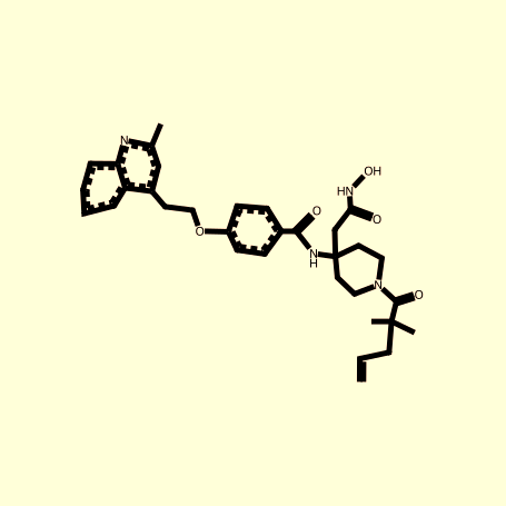 C=CCC(C)(C)C(=O)N1CCC(CC(=O)NO)(NC(=O)c2ccc(OCCc3cc(C)nc4ccccc34)cc2)CC1